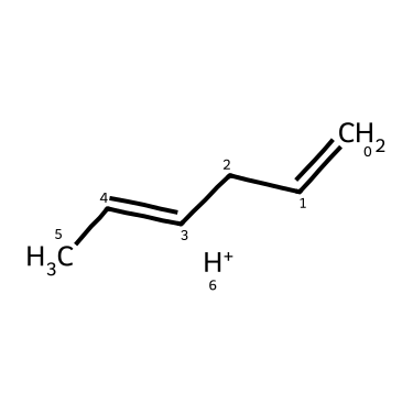 C=CCC=CC.[H+]